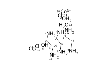 NCCN.NCCN.NCCN.O.O.O.[Cl-].[Cl-].[Cl-].[Co+3]